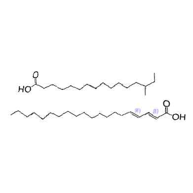 CCC(C)CCCCCCCCCCCCC(=O)O.CCCCCCCCCCCCCCC/C=C/C=C/C(=O)O